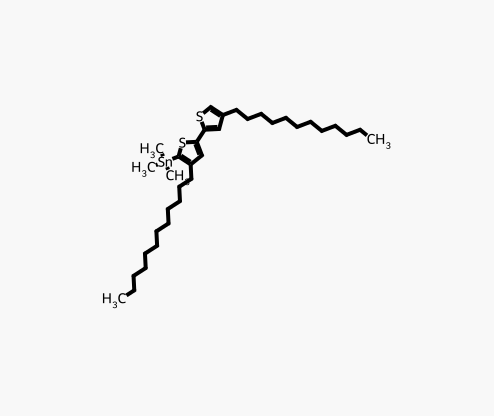 CCCCCCCCCCCCc1csc(-c2cc(CCCCCCCCCCCC)[c]([Sn]([CH3])([CH3])[CH3])s2)c1